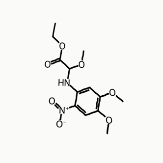 CCOC(=O)C(Nc1cc(OC)c(OC)cc1[N+](=O)[O-])OC